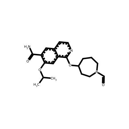 CC(C)Oc1cc2c(OC3CCCN(C=O)CC3)nccc2cc1C(N)=O